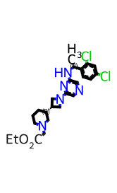 CCOC(=O)CN1CCC[C@H](C2CN(c3cncc(N[C@H](C)c4ccc(Cl)cc4Cl)n3)C2)C1